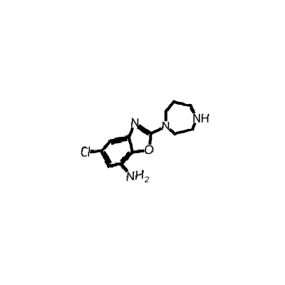 Nc1cc(Cl)cc2nc(N3CCCNCC3)oc12